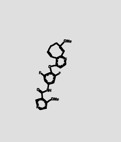 CO/C1=C/c2nccc(Oc3c(F)cc(NC(=O)c4cnccc4OC)cc3F)c2/C=C\CC1